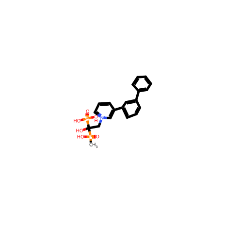 CP(=O)(O)C(O)(C[n+]1cccc(-c2cccc(-c3ccccc3)c2)c1)P(=O)(O)O